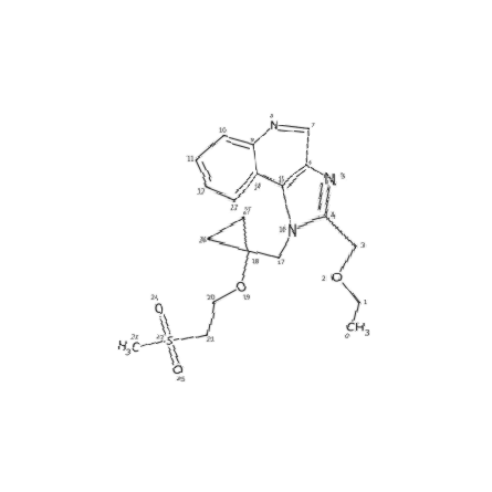 CCOCc1nc2cnc3ccccc3c2n1CC1(OCCS(C)(=O)=O)CC1